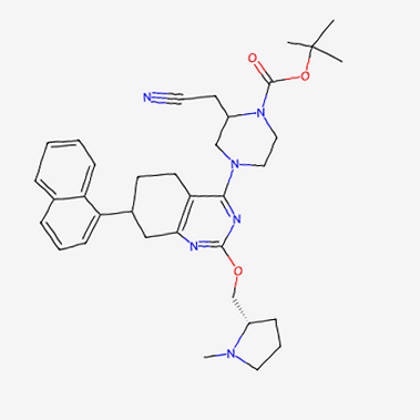 CN1CCC[C@H]1COc1nc2c(c(N3CCN(C(=O)OC(C)(C)C)C(CC#N)C3)n1)CCC(c1cccc3ccccc13)C2